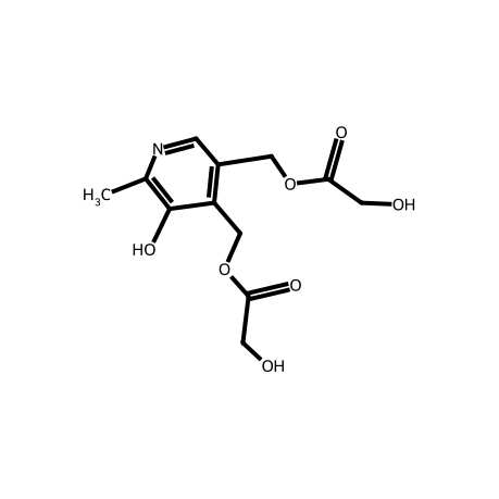 Cc1ncc(COC(=O)CO)c(COC(=O)CO)c1O